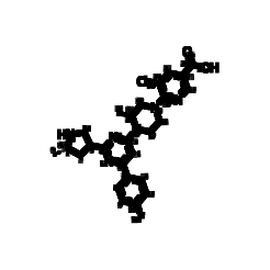 C[C@H]1CC(c2nc(-c3ccc(F)cc3)cc(N3CCN(c4ncc(C(=O)O)cc4Cl)C[C@@H]3C)n2)CN1